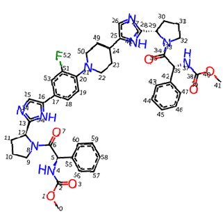 COC(=O)N[C@@H](C(=O)N1CCC[C@H]1c1ncc(-c2ccc(N3CCC(c4cnc([C@@H]5CCCN5C(=O)[C@H](NC(=O)OC)c5ccccc5)[nH]4)CC3)c(F)c2)[nH]1)c1ccccc1